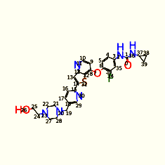 O=C(Nc1ccc(Oc2ccnc3cc(-c4ccc(CN5CCN(CCO)CC5)cn4)sc23)c(F)c1)NC1CC1